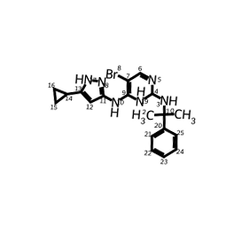 CC(C)(NC1N=CC(Br)=C(Nc2cc(C3CC3)[nH]n2)N1)c1ccccc1